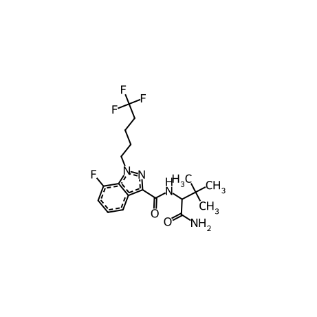 CC(C)(C)C(NC(=O)c1nn(CCCCC(F)(F)F)c2c(F)cccc12)C(N)=O